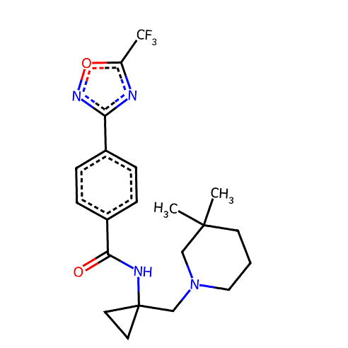 CC1(C)CCCN(CC2(NC(=O)c3ccc(-c4noc(C(F)(F)F)n4)cc3)CC2)C1